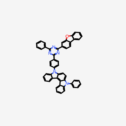 c1ccc(-c2nc(-c3ccc(-n4c5ccccc5c5c6c7ccccc7n(-c7ccccc7)c6ccc54)cc3)nc(-c3ccc4c(c3)oc3ccccc34)n2)cc1